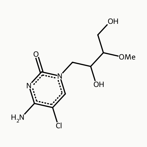 COC(CO)C(O)Cn1cc(Cl)c(N)nc1=O